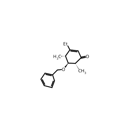 CCC1=CC(=O)[C@H](C)[C@@H](OCc2ccccc2)[C@@H]1C